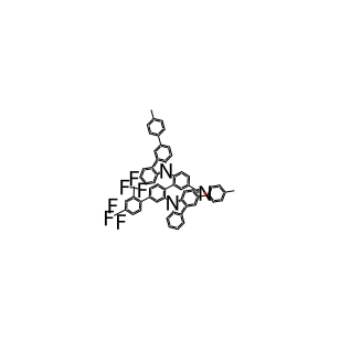 Cc1ccc(-c2ccc3c(c2)c2ccccc2n3-c2ccc(C#N)cc2-c2ccc(-c3ccc(C(F)(F)F)cc3C(F)(F)F)cc2-n2c3ccccc3c3cc(-c4ccc(C)cc4)ccc32)cc1